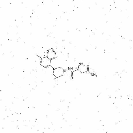 Cc1ccc(N2C[C@@H](C)C[C@@H](NC(=O)[C@@H](N)CC(N)=O)C2)c2cccnc12